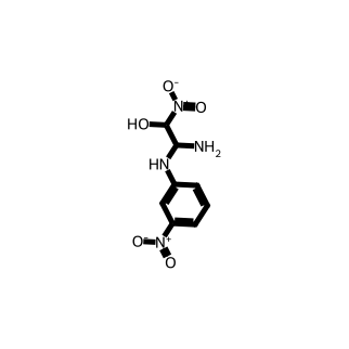 NC(Nc1cccc([N+](=O)[O-])c1)C(O)[N+](=O)[O-]